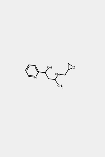 CC(CC(O)c1ccccn1)NCC1CO1